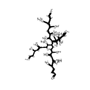 O=CCCC(O)C(O)C(O)C(O)CCC(C(O)C(O)C(O)CC(O)CC=O)C(C(O)C(O)CC(O)C(O)CC=O)C(O)(O)C(O)(O)C=O